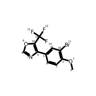 COc1ccc(-c2ncoc2C(F)(F)F)cc1Br